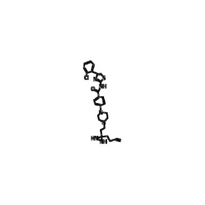 C#CCCC1(CCN2CCN(c3ccc(C(=O)Nc4nc(-c5ccccc5Cl)cs4)cc3)CC2)NN1